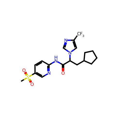 CS(=O)(=O)c1ccc(NC(=O)C(CC2CCCC2)n2cnc(C(F)(F)F)c2)nc1